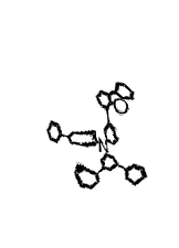 c1ccc(-c2ccc(N(c3cc(-c4ccccc4)cc(-c4ccccc4)c3)c3cccc(-c4cccc5c4oc4ccccc45)c3)cc2)cc1